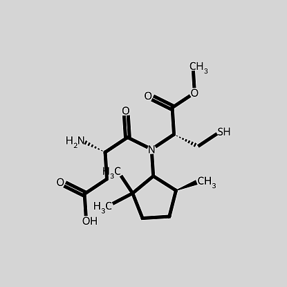 COC(=O)[C@H](CS)N(C(=O)[C@@H](N)CC(=O)O)C1[C@@H](C)CCC1(C)C